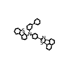 c1ccc(-c2cccc(N(c3ccc(-c4nc5c(s4)-c4cccc6cccc-5c46)cc3)c3cccc4c3sc3ccccc34)c2)cc1